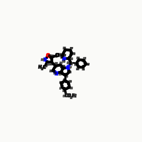 CCOC(=O)c1ccc(-c2cn([C@@H](c3ccccc3)c3ccccn3)c3cc(-c4c(C)noc4C)cnc23)cc1